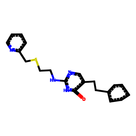 O=c1[nH]c(NCCSCc2ccccn2)ncc1CCc1ccccc1